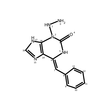 NNN1C(=O)NC(=Cc2ccccc2)c2nc[nH]c21